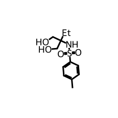 CCC(CO)(CO)NS(=O)(=O)c1ccc(C)cc1